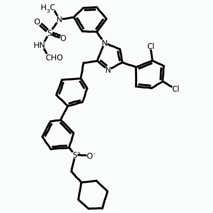 CN(c1cccc(-n2cc(-c3ccc(Cl)cc3Cl)nc2Cc2ccc(-c3cccc([S+]([O-])CC4CCCCC4)c3)cc2)c1)S(=O)(=O)NC=O